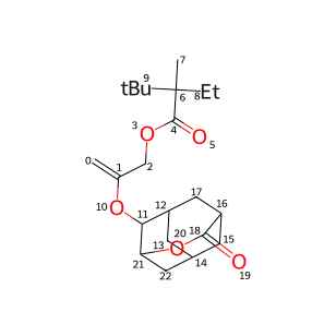 C=C(COC(=O)C(C)(CC)C(C)(C)C)OC1C2CC3CC(C2)C(=O)OC1C3